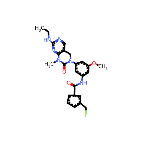 CCNc1ncc2c(n1)N(C)C(=O)N(c1cc(NC(=O)c3cccc(CF)c3)cc(OC)c1)C2